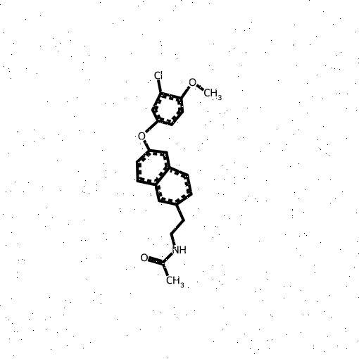 COc1ccc(Oc2ccc3cc(CCNC(C)=O)ccc3c2)cc1Cl